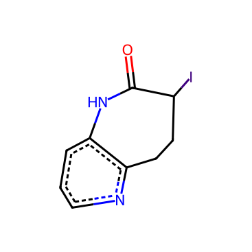 O=C1Nc2cccnc2CCC1I